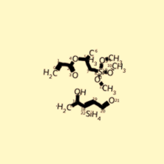 C=CC(=O)OC(C)C[Si](OC)(OC)OC.[CH2]C(O)C=CC=O.[SiH4]